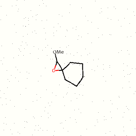 COC1OC12CC[CH]CC2